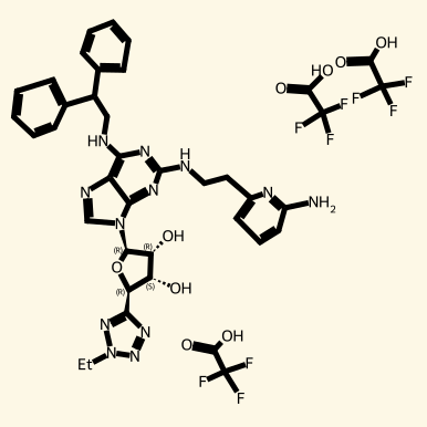 CCn1nnc([C@H]2O[C@@H](n3cnc4c(NCC(c5ccccc5)c5ccccc5)nc(NCCc5cccc(N)n5)nc43)[C@H](O)[C@@H]2O)n1.O=C(O)C(F)(F)F.O=C(O)C(F)(F)F.O=C(O)C(F)(F)F